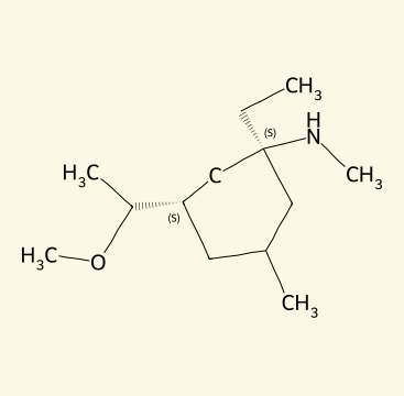 CC[C@]1(NC)CC(C)C[C@H](C(C)OC)C1